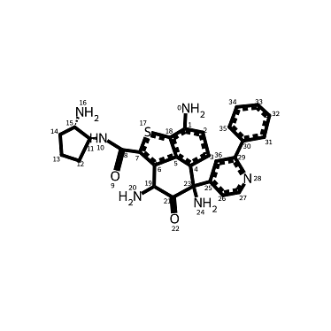 Nc1ccc2c3c(c(C(=O)N[C@@H]4CCC[C@@H]4N)sc13)C(N)C(=O)C2(N)c1ccnc(-c2ccccc2)c1